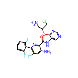 NCC(CCl)Oc1ncncc1NC(=O)c1nc(-c2c(F)cccc2F)c(F)cc1N